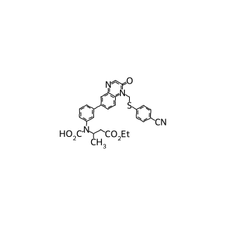 CCOC(=O)CC(C)N(C(=O)O)c1cccc(-c2ccc3c(c2)ncc(=O)n3CSc2ccc(C#N)cc2)c1